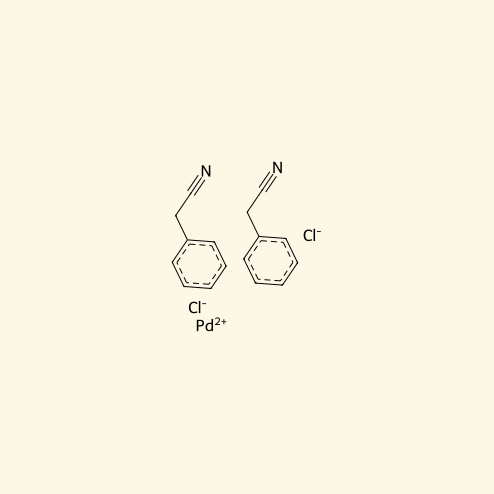 N#CCc1ccccc1.N#CCc1ccccc1.[Cl-].[Cl-].[Pd+2]